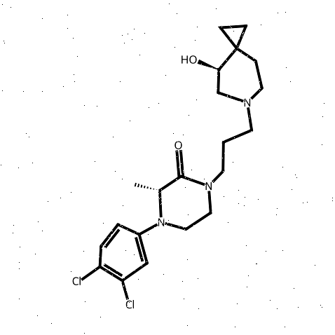 C[C@@H]1C(=O)N(CCCN2CCC3(CC3)[C@H](O)C2)CCN1c1ccc(Cl)c(Cl)c1